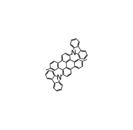 Cc1ccc2c(c1)c1c(-n3c4ccccc4c4ccccc43)ccc3c4ccc(C)cc4c4c(-n5c6ccccc6c6ccccc65)ccc2c4c31